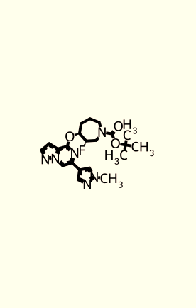 Cn1cc(-c2cn3nccc3c(O[C@H]3CCCN(C(=O)OC(C)(C)C)C[C@@H]3F)n2)cn1